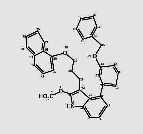 O=C(O)Oc1[nH]c2cccc(-c3cccc(OCc4ccccc4)c3)c2c1CCCOc1cccc2ccccc12